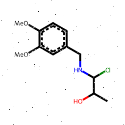 COc1ccc(CNC(Cl)C(C)O)cc1OC